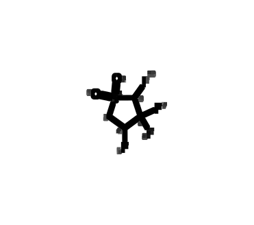 O=S1(=O)CC(F)C(F)(F)C1F